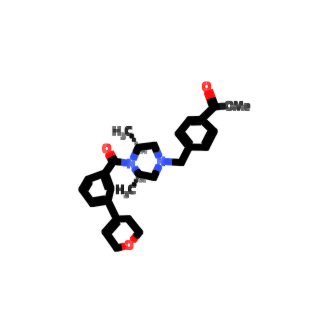 COC(=O)c1ccc(CN2C[C@@H](C)N(C(=O)c3cccc(C4=CCOCC4)c3)[C@@H](C)C2)cc1